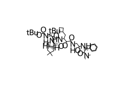 CN(C)C(=O)[C@@H](NC(=O)CNC(=O)C(=O)C(CC1CCC1)NC(=O)[C@@H]1[C@H]2CC(C)(C)C[C@H]2CN1C(=O)[C@@H](NC(=O)OC(C)(C)C)C(C)(C)C)c1ccccc1